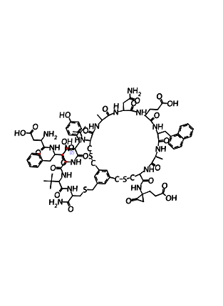 CC(C)NC1CSCc2cc(CSCC(NC(=O)C(NC(=O)C(CC(=O)O)NC(=O)/C(Cc3ccc(O)cc3)=N\C(=O)C(Cc3ccccc3)NC(=O)C(N)CC(=O)O)C(C)(C)C)C(N)=O)cc(c2)CSCC(C(=O)NC2(CCC(=O)O)CC2=O)NC(=O)C(C)NC(=O)C(Cc2cccc3ccccc23)NC(=O)C(CCC(=O)O)NC(=O)C(CC(N)=O)NC(=O)C(C)NC1=O